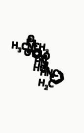 C=C1/C=C\C=C/CCC(NCC(O)CNC(=O)c2ccc(C(=O)N3[C@H](C)COC[C@H]3C)cc2)C1